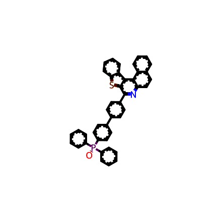 O=P(c1ccccc1)(c1ccccc1)c1ccc(-c2ccc(-c3nc4ccc5ccccc5c4c4c3sc3ccccc34)cc2)cc1